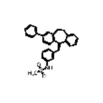 CS(=O)(=O)Nc1cccc(C=C2c3ccccc3CCc3cc(-c4ccccc4)ccc32)c1